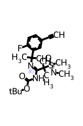 C#Cc1ccc(F)c(C(C)(C)/N=C(/NC(=O)OC(C)(C)C)C(C)(C)S(C)(=O)=NC)c1